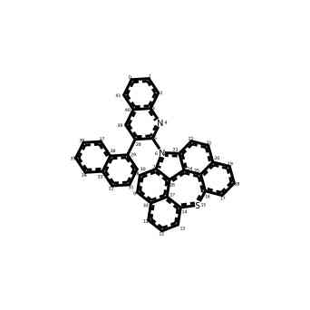 c1ccc2nc(-n3c4ccc5cccc6sc7cccc8ccc3c(c87)c4c56)c(-c3cccc4ccccc34)cc2c1